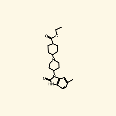 CCOC(=O)C1CCC(N2CCC(n3c(=O)[nH]c4ccc(C)cc43)CC2)CC1